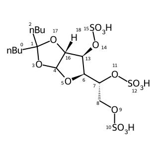 CCCCC1(CCCC)OC2O[C@H]([C@@H](COS(=O)(=O)O)OS(=O)(=O)O)[C@H](OS(=O)(=O)O)[C@H]2O1